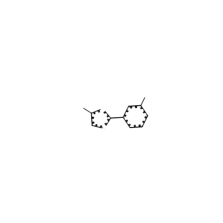 Cc1cccc(-c2ncc(C(=O)O)s2)c1